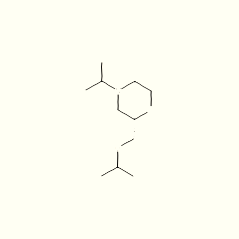 CC(C)OC[C@@H]1CN(C(C)C)CCO1